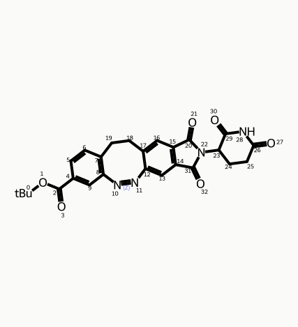 CC(C)(C)OC(=O)c1ccc2c(c1)/N=N\c1cc3c(cc1CC2)C(=O)N(C1CCC(=O)NC1=O)C3=O